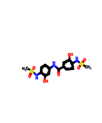 CS(=O)(=O)Nc1ccc(NC(=O)c2ccc(NS(C)(=O)=O)c(O)c2)cc1O